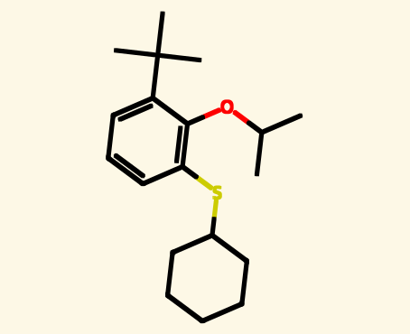 CC(C)Oc1c(SC2CCCCC2)cccc1C(C)(C)C